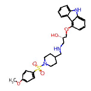 COc1ccc(S(=O)(=O)N2CCC(CNC[C@H](O)COc3cccc4[nH]c5ccccc5c34)CC2)cc1